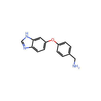 NCc1ccc(Oc2ccc3nc[nH]c3c2)cc1